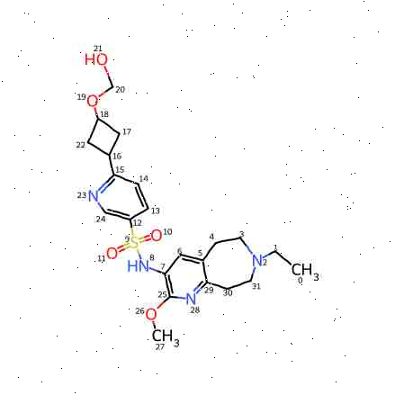 CCN1CCc2cc(NS(=O)(=O)c3ccc(C4CC(OCO)C4)nc3)c(OC)nc2CC1